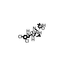 CC1(C)C[C@@H](C[C@@H](C#N)NC(=O)[C@H](CC2CC2)NC(=O)c2cc3c(Cl)cc(Cl)cc3[nH]2)C(=O)N1